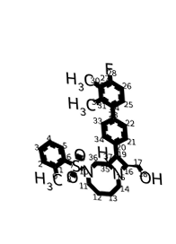 Cc1ccccc1S(=O)(=O)N1CCCCN2[C@H](CO)C(c3ccc(-c4ccc(F)c(C)c4C)cc3)[C@@H]2C1